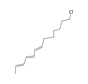 C/C=C/C=C/C=C/CCCCCCCl